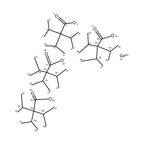 CC(C)C(C(=O)[O-])(C(C)C)C(C)C.CC(C)C(C(=O)[O-])(C(C)C)C(C)C.CC(C)C(C(=O)[O-])(C(C)C)C(C)C.CC(C)C(C(=O)[O-])(C(C)C)C(C)C.[Ge+4]